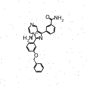 NC(=O)c1cccc(C2=C3C=NC=C[N+]3(N)C(c3cccc(OCc4ccccc4)c3)=N2)c1